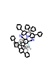 CC1(C)c2c(F)c(C#N)c(N3c4ccc(-c5ccccc5)cc4[Si](c4ccccc4)(c4ccccc4)c4cc(-c5ccccc5)ccc43)c(C#N)c2C(C)(C)C12c1cc(-c3ccccc3)ccc1-c1ccc(-c3ccccc3)cc12